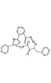 NC(=O)C(=O)C(Cc1ccccc1)N=[N+]=NC(=O)c1ccccc1-c1csc(-c2ccccc2)n1